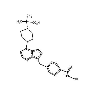 CC(C)(C(=O)O)N1CCC(c2ccnc3c2ccn3Cc2ccc(C(=O)NO)cc2)CC1